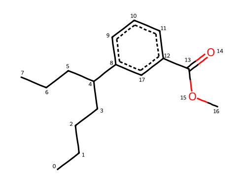 CCCCC(CCC)c1cccc(C(=O)OC)c1